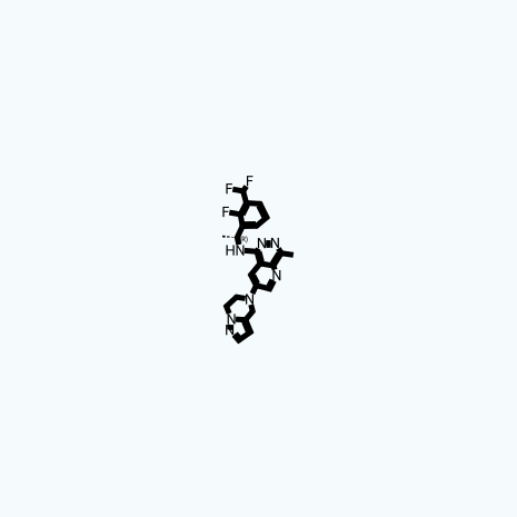 Cc1nnc(N[C@H](C)c2cccc(C(F)F)c2F)c2cc(N3CCn4nccc4C3)cnc12